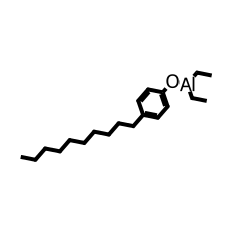 CCCCCCCCCCc1ccc([O][Al]([CH2]C)[CH2]C)cc1